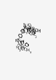 CN(C)[C@@H](C(=O)N1CCC[C@H]1c1ncc(-c2ccc(-c3ccc(-c4cnc([C@@H]5CCCN5C(=O)C[C@]5(C(C)(C)C)CCCN5C(=O)O)[nH]4)cc3)cc2)[nH]1)c1ccccc1